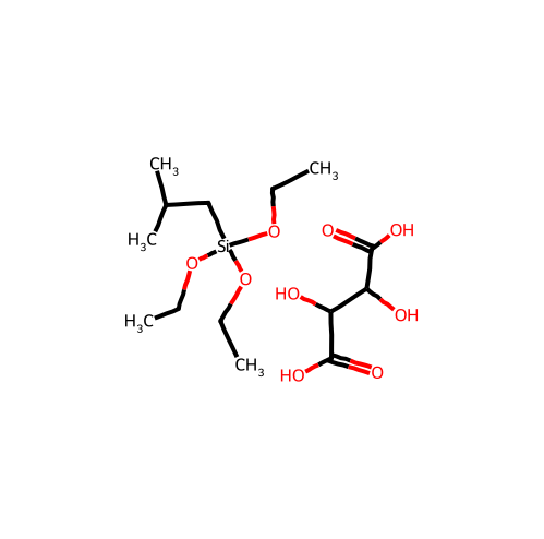 CCO[Si](CC(C)C)(OCC)OCC.O=C(O)C(O)C(O)C(=O)O